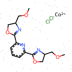 COCC1COC(c2cccc(C3=NC(COC)CO3)n2)=N1.[Cl-].[Cl-].[Co+2]